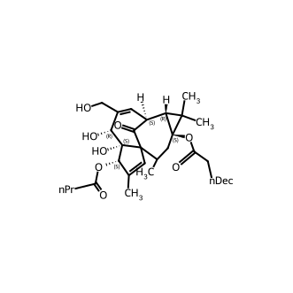 CCCCCCCCCCCC(=O)O[C@@]12CC(C)C34C=C(C)[C@H](OC(=O)CCC)[C@@]3(O)[C@H](O)C(CO)=C[C@H](C4=O)[C@@H]1C2(C)C